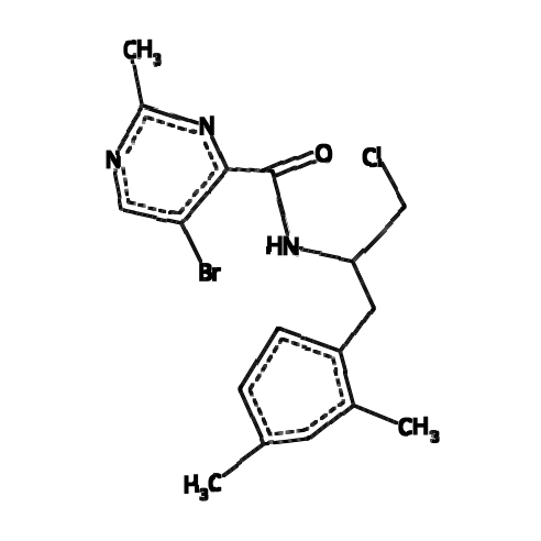 Cc1ccc(CC(CCl)NC(=O)c2nc(C)ncc2Br)c(C)c1